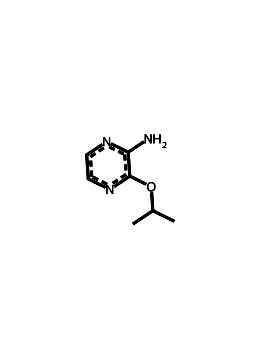 CC(C)Oc1nccnc1N